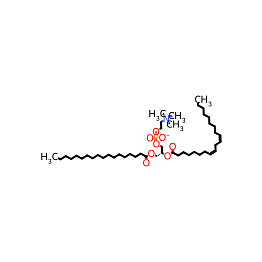 CCCCCCCC/C=C\C/C=C\CCCCCCC(=O)O[C@H](COC(=O)CCCCCCCCCCCCCCCCC)COP(=O)([O-])OCC[N+](C)(C)C